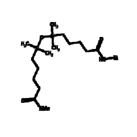 CCNC(=O)CCCC[Si](C)(C)O[Si](C)(C)CCCCC(=O)NC